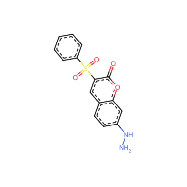 NNc1ccc2cc(S(=O)(=O)c3ccccc3)c(=O)oc2c1